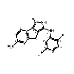 Bc1ccc2c(c1)Cc1c-2n[nH]c1Nc1cc(F)ccc1F